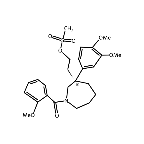 COc1ccc([C@@]2(CCOS(C)(=O)=O)CCCCN(C(=O)c3ccccc3OC)C2)cc1OC